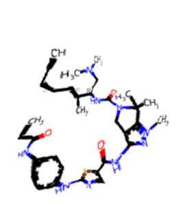 C#C/C=C\C=C(/C)[C@@H](CN(C)C)NC(=O)N1Cc2c(NC(=O)c3cnc(Nc4ccc(NC(=O)C=C)cc4)s3)nn(C)c2C1(C)C